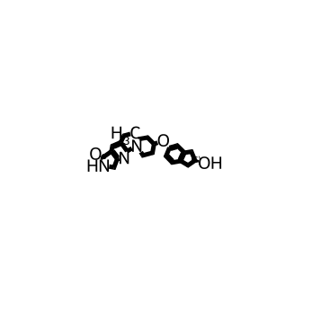 CCc1cc2c(nc1N1CCC(Oc3ccc4c(c3)C[C@@H](O)C4)CC1)CNC2=O